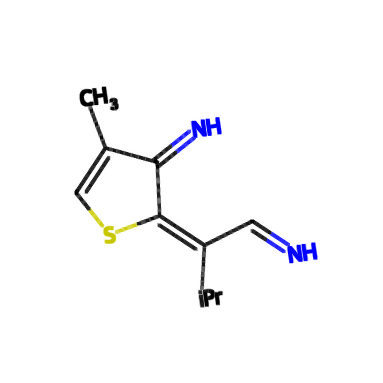 CC1=CS/C(=C(/C=N)C(C)C)C1=N